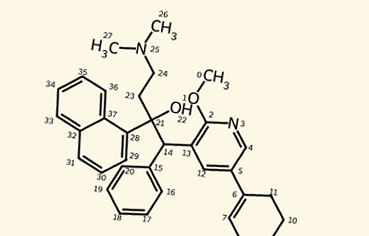 COc1ncc(C2=CCSCC2)cc1C(c1ccccc1)C(O)(CCN(C)C)c1cccc2ccccc12